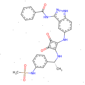 C[C@@H](Nc1c(Nc2ccc3[nH]nc(NC(=O)c4ccccc4)c3c2)c(=O)c1=O)c1cccc(NS(C)(=O)=O)c1